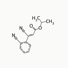 CC(C)OC(=O)C=C(C#N)c1ccccc1C#N